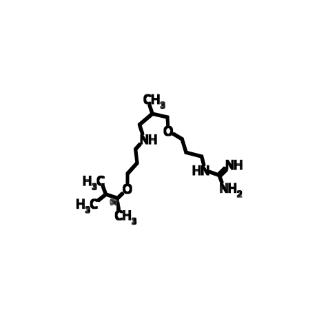 CC(CNCCCO[C@@H](C)C(C)C)COCCCNC(=N)N